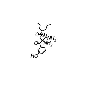 CCCC(CCC)S(=O)(=O)C[C@](N)(C(N)=O)C(=O)c1cccc(O)c1